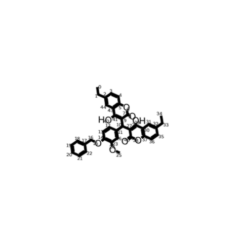 CCc1ccc2oc(=O)c(C(c3ccc(OCc4ccccc4)c(OC)c3)c3c(O)c4cc(CC)ccc4oc3=O)c(O)c2c1